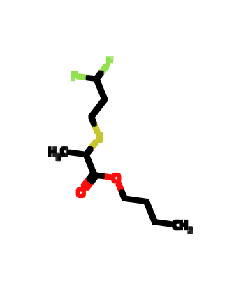 CCCCOC(=O)C(C)SCCC(F)F